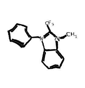 Cn1c(C(F)(F)F)[n+](-c2ccccc2)c2ccccc21